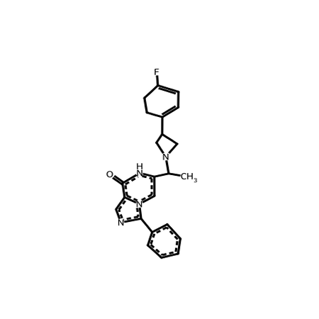 CC(c1cn2c(-c3ccccc3)ncc2c(=O)[nH]1)N1CC(C2=CC=C(F)CC2)C1